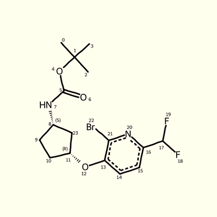 CC(C)(C)OC(=O)N[C@H]1CC[C@@H](Oc2ccc(C(F)F)nc2Br)C1